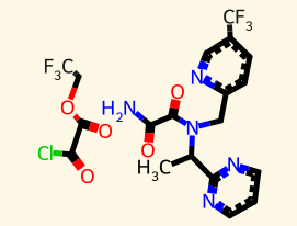 CC(c1ncccn1)N(Cc1ccc(C(F)(F)F)cn1)C(=O)C(N)=O.O=C(Cl)C(=O)OCC(F)(F)F